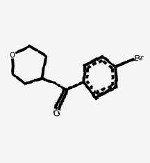 O=C(c1ccc(Br)cc1)C1CCOCC1